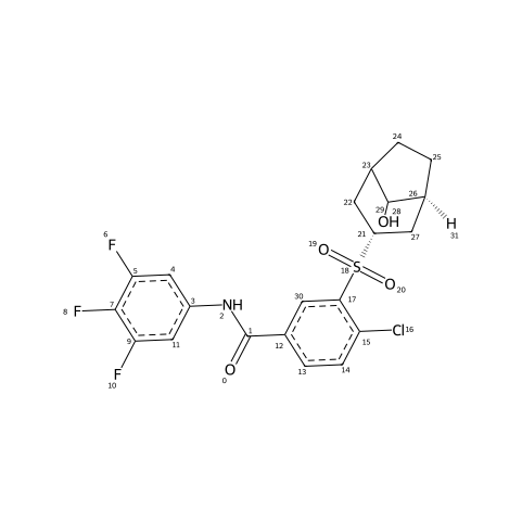 O=C(Nc1cc(F)c(F)c(F)c1)c1ccc(Cl)c(S(=O)(=O)[C@@H]2CC3CC[C@@H](C2)C3O)c1